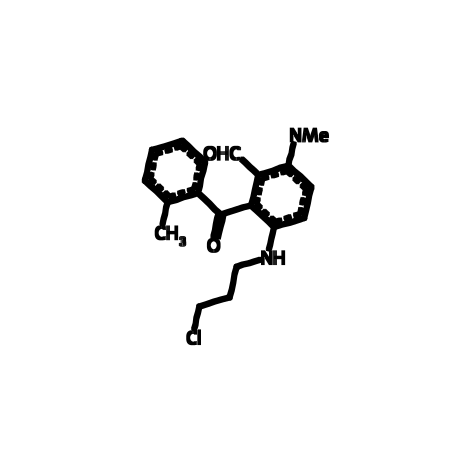 CNc1ccc(NCCCCl)c(C(=O)c2ccccc2C)c1C=O